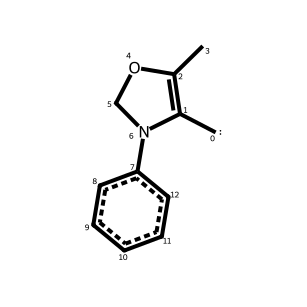 [CH]C1=C(C)OCN1c1ccccc1